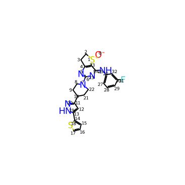 [O-][S+]1CCc2nc(N3CCC(c4cc(-c5cccs5)[nH]n4)CC3)nc(Nc3cccc(F)c3)c21